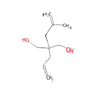 C=CCC(CO)(CO)CC(=C)C